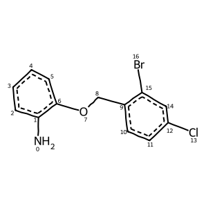 Nc1ccccc1OCc1ccc(Cl)cc1Br